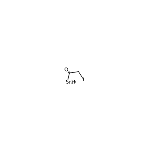 O=[C]([SnH])CI